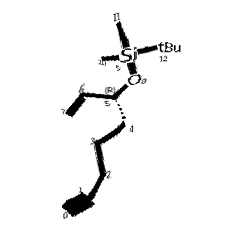 C#CCCC[C@H](C=C)O[Si](C)(C)C(C)(C)C